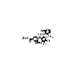 Cc1ccnc(C(C)C)c1N(C)c1nc(Cl)c(Cl)c2c1CN1CCN(C(=O)OC(C)(C)C)C[C@@H]1CO2